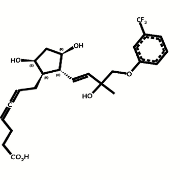 CC(O)(C=C[C@@H]1[C@@H](CC=C=CCCC(=O)O)[C@@H](O)C[C@H]1O)COc1cccc(C(F)(F)F)c1